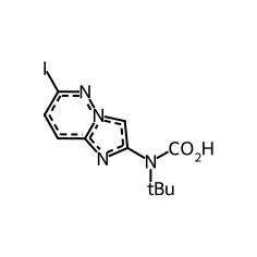 CC(C)(C)N(C(=O)O)c1cn2nc(I)ccc2n1